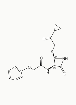 O=C(COc1ccccc1)N[C@@H]1C(=O)N[C@@H]1SCC(=O)C1CC1